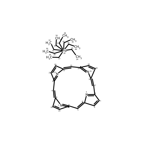 C1=CC2=NC1=CC1=NC(=CC3=NC(=CC4=NC(=C2)C=C4)C=C3)C=C1.C[CH2][Pd]([CH2]C)([CH2]C)([CH2]C)([CH2]C)([CH2]C)([CH2]C)[CH2]C